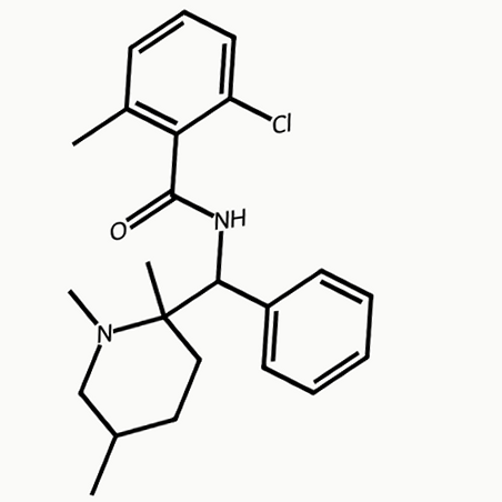 Cc1cccc(Cl)c1C(=O)NC(c1ccccc1)C1(C)CCC(C)CN1C